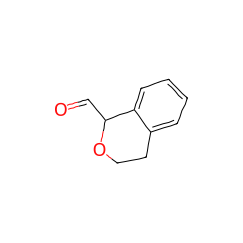 O=CC1OCCc2ccccc21